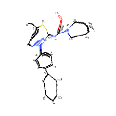 Cc1cn(-c2ccc(C3CCCCC3)cc2)/c(=N/C(=O)N2CCCC2)s1